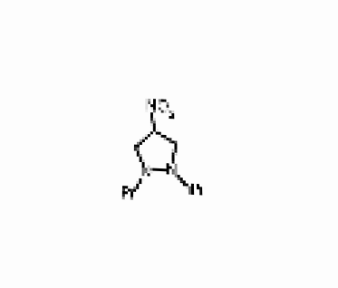 CC(C)N1CC([N+](=O)[O-])CN1C(C)C